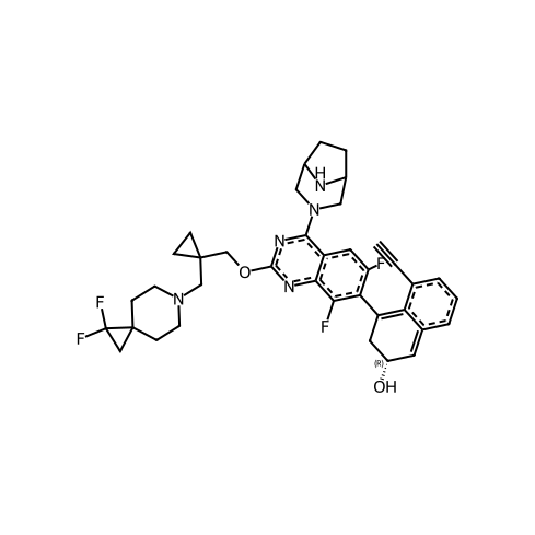 C#Cc1cccc2c1=C(c1c(F)cc3c(N4CC5CCC(C4)N5)nc(OCC4(CN5CCC6(CC5)CC6(F)F)CC4)nc3c1F)C[C@@H](O)C=2